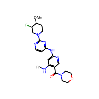 CO[C@H]1CCN(c2nccc(Nc3cc(NC(C)C)c(C(=O)N4CCOCC4)cn3)n2)C[C@H]1F